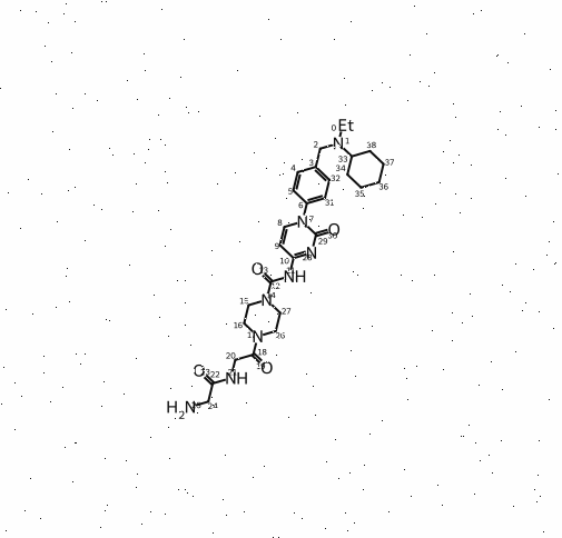 CCN(Cc1ccc(-n2ccc(NC(=O)N3CCN(C(=O)CNC(=O)CN)CC3)nc2=O)cc1)C1CCCCC1